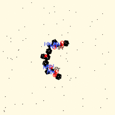 CC(C)[C@H](NC(=O)Oc1ccccc1)C(=O)N1CCC[C@H]1c1nc2ccc(-c3ccc(-c4ccc(C5=CNC([C@@H]6CCCN6C(=O)[C@@H](NC(=O)Oc6ccccc6)C(C)C)N5)cc4)c4c3C3CCC4C3)cc2[nH]1